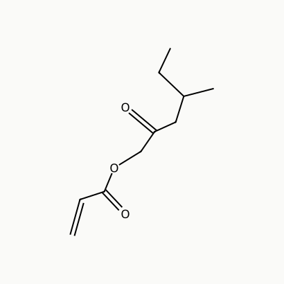 C=CC(=O)OCC(=O)CC(C)CC